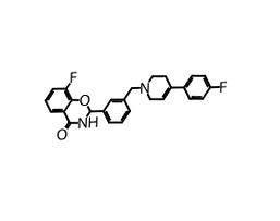 O=C1NC(c2cccc(CN3CC=C(c4ccc(F)cc4)CC3)c2)Oc2c(F)cccc21